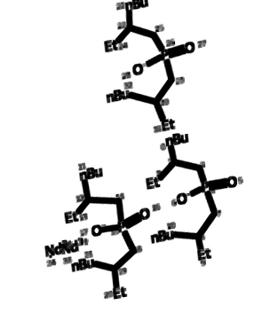 CCCCC(CC)CP(=O)([O-])CC(CC)CCCC.CCCCC(CC)CP(=O)([O-])CC(CC)CCCC.CCCCC(CC)CP(=O)([O-])CC(CC)CCCC.[Nd+3].[Nd+3]